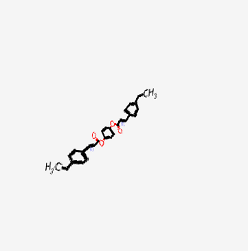 CCc1ccc(/C=C/C(=O)Oc2ccc(OC(=O)/C=C/c3ccc(CC)cc3)cc2)cc1